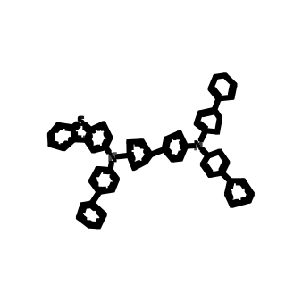 C1=CC(C2=CC=C(N(c3ccc(-c4ccc(N(c5ccc(-c6ccccc6)cc5)c5ccc6sc7ccccc7c6c5)cc4)cc3)C3C=CC(c4ccccc4)=CC3)CC2)=CCC1